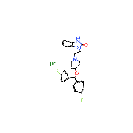 Cl.O=c1[nH]c2ccccc2n1CCN1CCC(OC(c2ccc(F)cc2)c2ccc(F)cc2)CC1